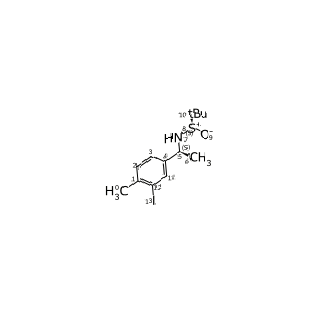 Cc1ccc([C@H](C)N[S@+]([O-])C(C)(C)C)cc1I